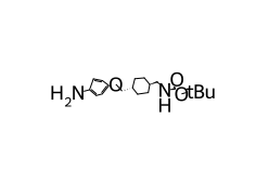 CC(C)(C)OC(=O)NC[C@H]1CC[C@H](COc2ccc(N)cc2)CC1